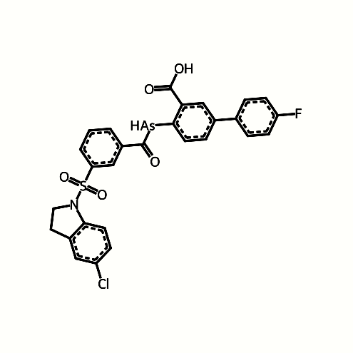 O=C([AsH]c1ccc(-c2ccc(F)cc2)cc1C(=O)O)c1cccc(S(=O)(=O)N2CCc3cc(Cl)ccc32)c1